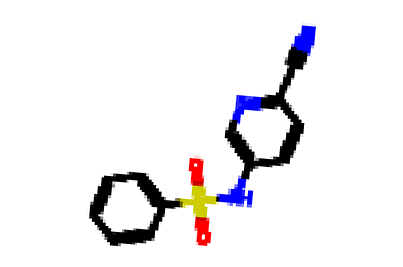 N#Cc1ccc(NS(=O)(=O)c2ccccc2)cn1